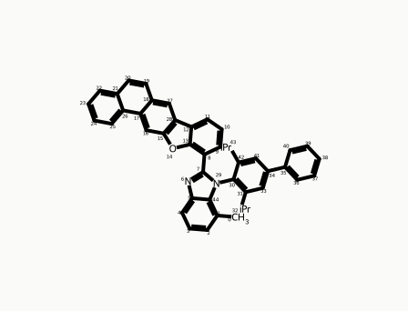 Cc1cccc2nc(-c3cccc4c3oc3cc5c(ccc6ccccc65)cc34)n(-c3c(C(C)C)cc(-c4ccccc4)cc3C(C)C)c12